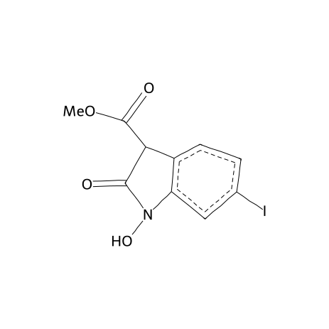 COC(=O)C1C(=O)N(O)c2cc(I)ccc21